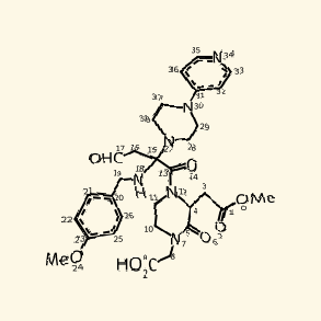 COC(=O)CC1C(=O)N(CC(=O)O)CCN1C(=O)C(CC=O)(NCc1ccc(OC)cc1)N1CCN(c2ccncc2)CC1